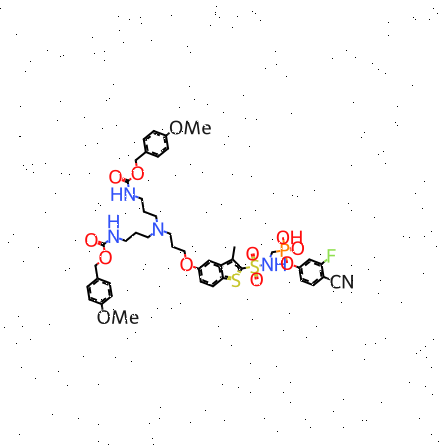 COc1ccc(COC(=O)NCCCN(CCCNC(=O)OCc2ccc(OC)cc2)CCCOc2ccc3sc(S(=O)(=O)NCP(=O)(O)Oc4ccc(C#N)c(F)c4)c(C)c3c2)cc1